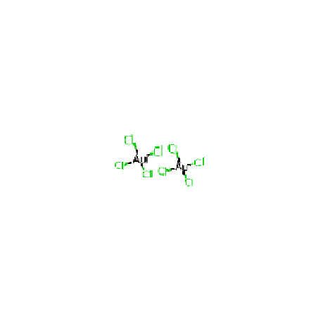 [Cl][Au]([Cl])([Cl])[Cl].[Cl][Au]([Cl])([Cl])[Cl]